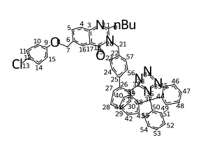 CCCCc1nc2ccc(COc3ccc(Cl)cc3)cc2c(=O)n1Cc1ccc(-c2ccccc2-c2nnnn2C(c2ccccc2)(c2ccccc2)c2ccccc2)cc1